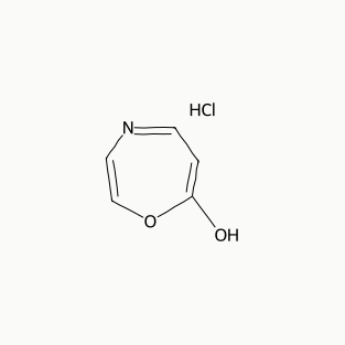 Cl.OC1=CC=NC=CO1